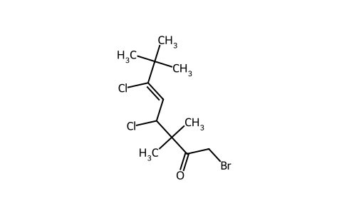 CC(C)(C)/C(Cl)=C/C(Cl)C(C)(C)C(=O)CBr